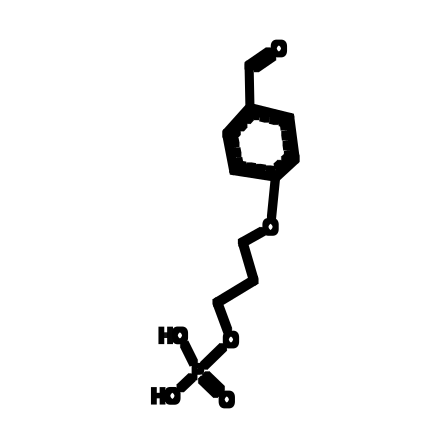 O=Cc1ccc(OCCCOP(=O)(O)O)cc1